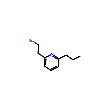 CCCc1cccc(CCBr)n1